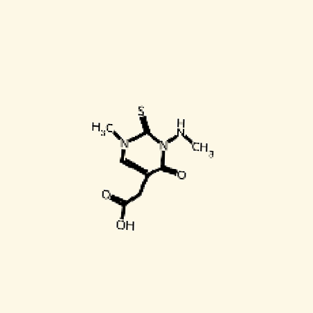 CNn1c(=O)c(CC(=O)O)cn(C)c1=S